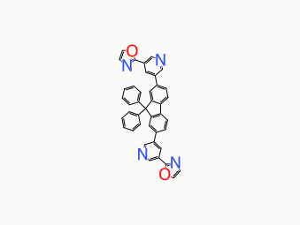 c1ccc(C2(c3ccccc3)c3cc(-c4cncc(-c5ncco5)c4)ccc3-c3ccc(-c4cncc(-c5ncco5)c4)cc32)cc1